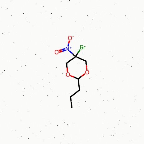 CCCC1OCC(Br)([N+](=O)[O-])CO1